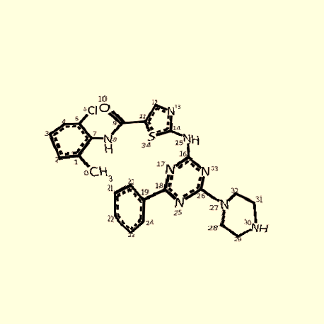 Cc1cccc(Cl)c1NC(=O)c1cnc(Nc2nc(-c3ccccc3)nc(N3CCNCC3)n2)s1